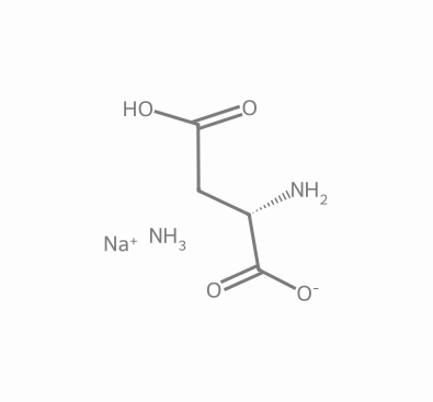 N.N[C@@H](CC(=O)O)C(=O)[O-].[Na+]